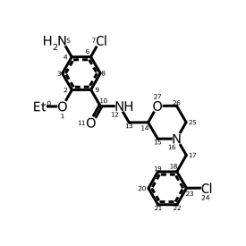 CCOc1cc(N)c(Cl)cc1C(=O)NCC1CN(Cc2ccccc2Cl)CCO1